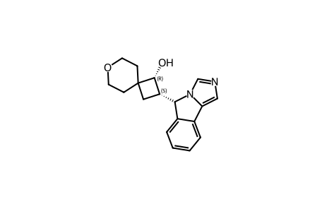 O[C@@H]1[C@H](C2c3ccccc3-c3cncn32)CC12CCOCC2